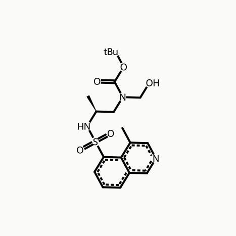 Cc1cncc2cccc(S(=O)(=O)N[C@@H](C)CN(CO)C(=O)OC(C)(C)C)c12